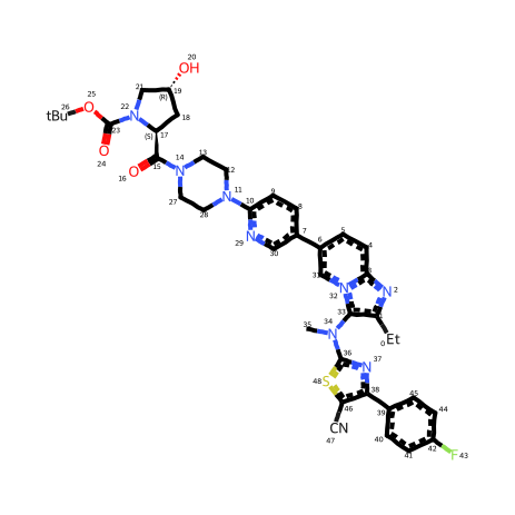 CCc1nc2ccc(-c3ccc(N4CCN(C(=O)[C@@H]5C[C@@H](O)CN5C(=O)OC(C)(C)C)CC4)nc3)cn2c1N(C)c1nc(-c2ccc(F)cc2)c(C#N)s1